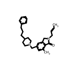 C/C=C/CN1Cc2cc(CN3CCC(CCCc4ccccc4)CC3)cc(C)c2C1=O